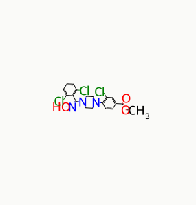 COC(=O)c1ccc(N2CCN(C(=NO)c3c(Cl)cccc3Cl)CC2)c(Cl)c1